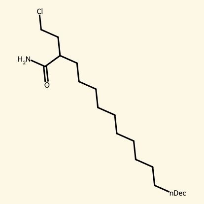 CCCCCCCCCCCCCCCCCCCCC(CCCl)C(N)=O